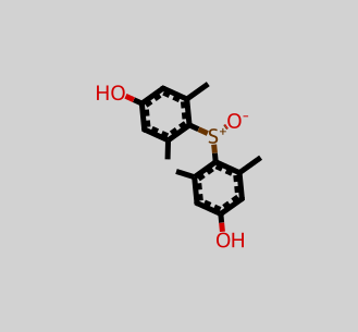 Cc1cc(O)cc(C)c1[S+]([O-])c1c(C)cc(O)cc1C